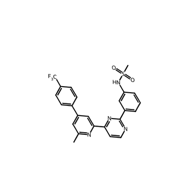 Cc1cc(-c2ccc(C(F)(F)F)cc2)cc(-c2ccnc(-c3cccc(NS(C)(=O)=O)c3)n2)n1